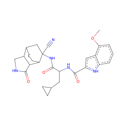 COc1cccc2[nH]c(C(=O)NC(CC3CC3)C(=O)NC3(C#N)CC4CCC3C3C(=O)NCC43)cc12